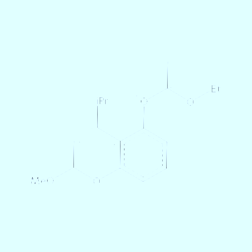 CCOC(C)Oc1cccc(OC(C)OC)c1CC(C)C